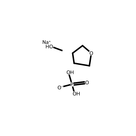 C1CCOC1.CO.O=P([O-])(O)O.[Na+]